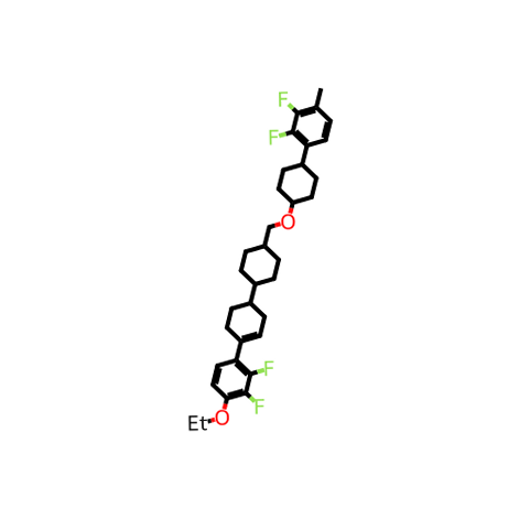 CCOc1ccc(C2=CCC(C3CCC(COC4CCC(c5ccc(C)c(F)c5F)CC4)CC3)CC2)c(F)c1F